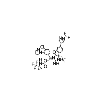 CC(C)(C)C[C@]1(c2ccc(-c3cnn(C(F)F)c3)cc2)NC(=N)N([C@H](COC(=O)NC2(C(F)(F)F)CC2)c2ccc(Cl)c(-n3cccn3)c2)C1=O